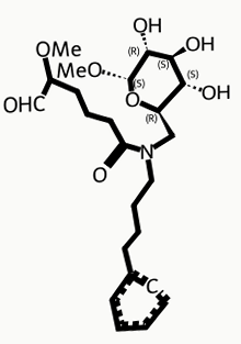 COC(C=O)CCCC(=O)N(CCCCc1ccccc1)C[C@H]1O[C@H](OC)[C@H](O)[C@@H](O)[C@@H]1O